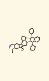 C=Cc1cc2sc3cc4c5c(cccc5c3c2cc1/C=C\C)-c1c-4c(-c2ccccc2)c2ccccc2c1-c1ccccc1